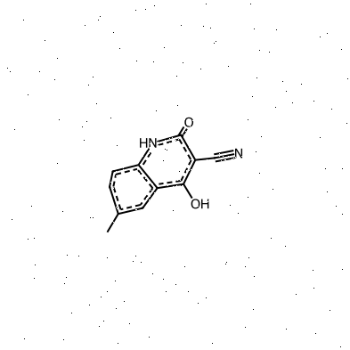 Cc1ccc2[nH]c(=O)c(C#N)c(O)c2c1